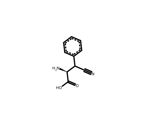 N#CC(c1ccccc1)[C@H](N)C(=O)O